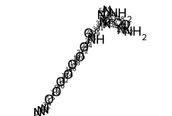 [N-]=[N+]=NCCOCCOCCOCCOCCOCCOCCOCCNC(=O)CCCCn1nc(-c2ccc3oc(N)nc3c2)c2c(N)ncnc21